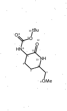 COCC1CCC(NC(=O)OC(C)(C)C)C(=O)N1